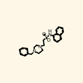 O=S(=O)(CCN1CCN(Cc2ccccc2)CC1)Nc1cccc2ccccc12